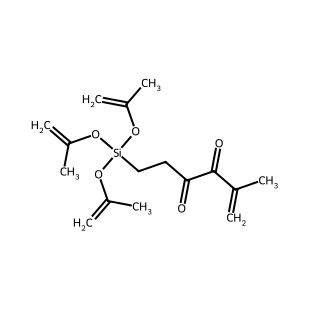 C=C(C)O[Si](CCC(=O)C(=O)C(=C)C)(OC(=C)C)OC(=C)C